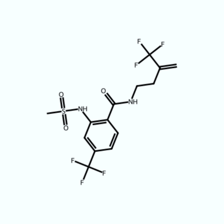 C=C(CCNC(=O)c1ccc(C(F)(F)F)cc1NS(C)(=O)=O)C(F)(F)F